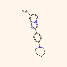 CNc1ccn2cc(-c3ccc(N4CCCCC4)cc3)nc2c1